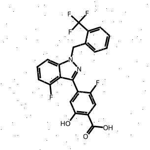 O=C(O)c1cc(F)c(-c2nn(Cc3ccccc3C(F)(F)F)c3cccc(F)c23)cc1O